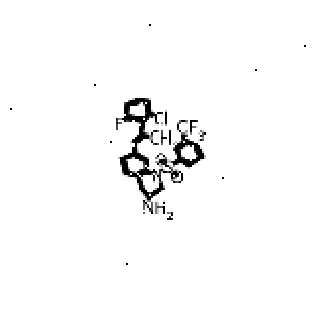 CC(=Cc1ccc2c(c1)N(S(=O)(=O)c1cccc(C(F)(F)F)c1)CC(N)C2)c1c(F)cccc1Cl